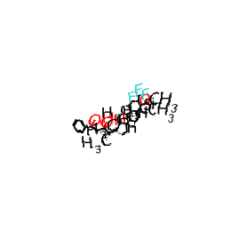 C[C@H](C(O)CC(O)c1ccccc1)[C@H]1CC[C@H]2[C@@H]3CC[C@H]4CC(O[Si](C)(C)C)(C(F)(F)F)CC[C@]4(C)[C@H]3CC[C@]12C